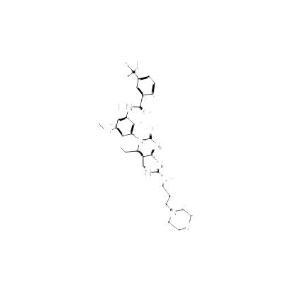 CCc1c2cnc(NCCCN3CCOCC3)nc2nc(=O)n1-c1cc(NC(=O)c2cccc(C(F)(F)F)c2)cc(OC)c1